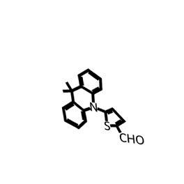 CC1(C)c2ccccc2N(c2ccc(C=O)s2)c2ccccc21